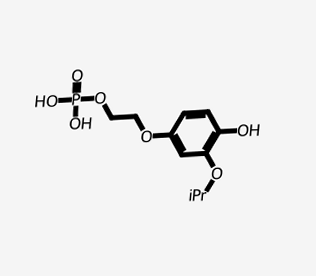 CC(C)Oc1cc(OCCOP(=O)(O)O)ccc1O